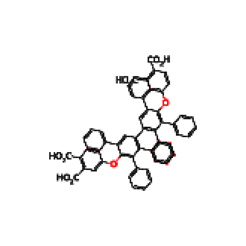 O=C(O)c1ccc(Oc2c(-c3ccccc3)cc(-c3cc(-c4ccccc4)c(Oc4ccc(C(=O)O)c(C(=O)O)c4)c(-c4ccccc4)c3-c3ccccc3)c(-c3ccccc3)c2-c2ccccc2)cc1C(=O)O